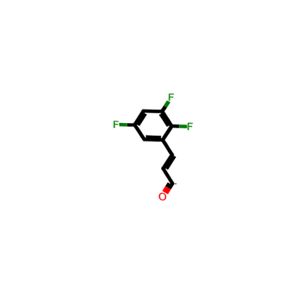 O=[C]C=Cc1cc(F)cc(F)c1F